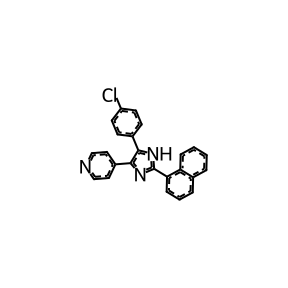 Clc1ccc(-c2[nH]c(-c3cccc4ccccc34)nc2-c2ccncc2)cc1